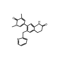 Cc1cc(-c2cc3c(cc2Cc2ccccn2)CCC(=O)N3)cn(C)c1=O